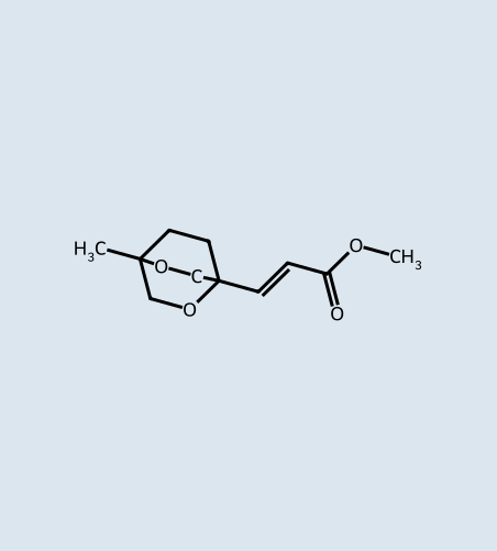 COC(=O)/C=C/C12CCC(C)(CO1)OC2